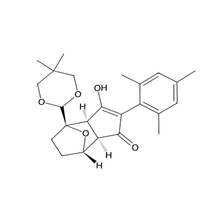 Cc1cc(C)c(C2=C(O)[C@H]3[C@@H](C2=O)[C@@H]2CC[C@@]3(C3OCC(C)(C)CO3)O2)c(C)c1